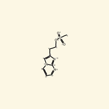 CS(=O)(=O)OCCc1cn2cccnc2n1